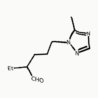 CCC(C=O)CCCn1ncnc1C